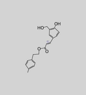 Cc1ccc(CCOC(=O)/C=C/c2ccc(O)c(CO)c2)cc1